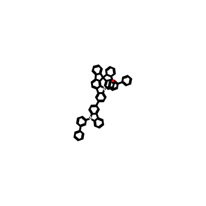 CC1C=CC=CC1C1(c2ccccc2)c2ccccc2-c2ccc3c4cc(-c5ccc6c(c5)c5ccccc5n6-c5cccc(-c6ccccc6)c5)ccc4n(-c4ccc(-c5ccccc5)cc4)c3c21